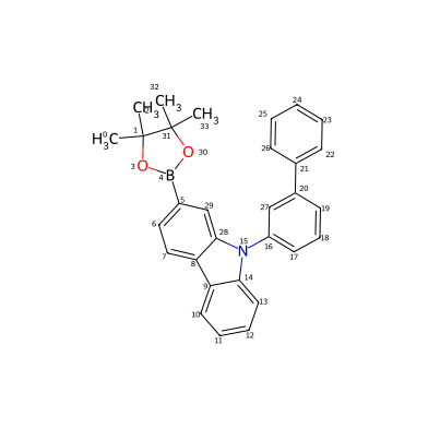 CC1(C)OB(c2ccc3c4ccccc4n(-c4cccc(-c5ccccc5)c4)c3c2)OC1(C)C